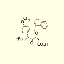 CC(C)(C)CN1C(=O)[C@H](CC(=O)O)O[C@@H](c2cccc3ccccc23)c2cc(OC(F)(F)F)ccc21